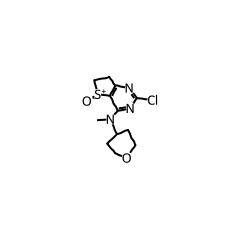 CN(c1nc(Cl)nc2c1[S+]([O-])CC2)C1CCOCC1